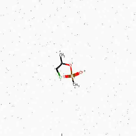 CC(CCl)OS(C)(=O)=O